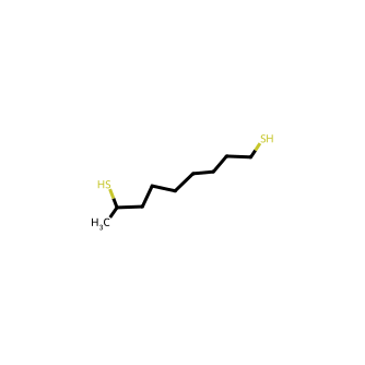 CC(S)CCCCCCCS